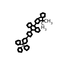 CC1(C)c2ccccc2-c2ccc(-c3c4ccccc4c(-c4ccc(-c5ccc([Si](c6ccccc6)(c6ccccc6)c6ccccc6)cc5)cc4)c4ccccc34)cc21